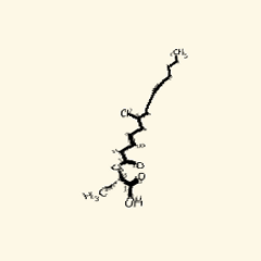 CCCCCCC(Cl)CCCCC(=O)O[C@@H](C)C(=O)O